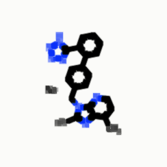 CCCc1nc2c(C)ccnc2n1Cc1ccc(-c2ccccc2-c2nnn[nH]2)cc1.[Na]